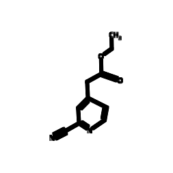 CCOC(=O)Cc1ccnc(C#N)c1